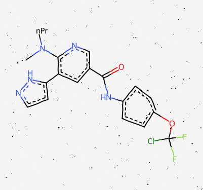 CCCN(C)c1ncc(C(=O)Nc2ccc(OC(F)(F)Cl)cc2)cc1-c1ccn[nH]1